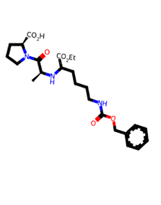 CCOC(=O)C(CCCCNC(=O)OCc1ccccc1)N[C@@H](C)C(=O)N1CCC[C@H]1C(=O)O